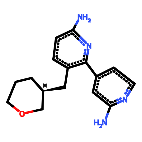 Nc1cc(-c2nc(N)ccc2C[C@@H]2CCCOC2)ccn1